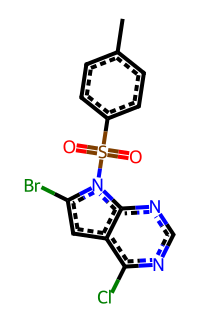 Cc1ccc(S(=O)(=O)n2c(Br)cc3c(Cl)ncnc32)cc1